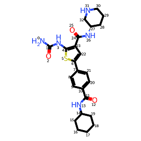 NC(=O)Nc1sc(-c2ccc(C(=O)NC3CCCCC3)cc2)cc1C(=O)N[C@H]1CCCNC1